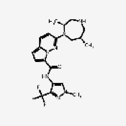 C[C@@H]1CNC[C@H](C)N(c2ccc3ccc(C(=O)Nc4cn(C)nc4C(F)(F)F)n3n2)C1